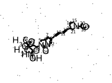 C[C@@](CCN1Cc2cc(C#CC#CC3CCN(C4COC4)C3)cn2C1=O)(C(=O)NO)S(C)(=O)=O